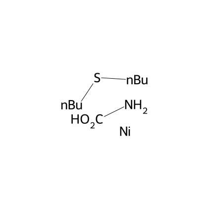 CCCCSCCCC.NC(=O)O.[Ni]